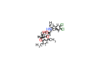 Cc1ccc([C@@H](C)OC[C@H](O)CNC(C)(C)Cc2ccc(Cl)c(Cl)c2)c2c1O[C@@H]1[C@@H](C(=O)O)[C@H]21